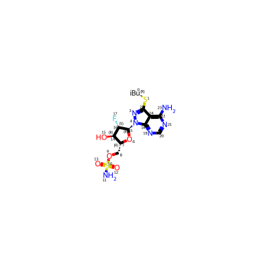 CC[C@@H](C)Sc1nn([C@@H]2O[C@H](COS(N)(=O)=O)[C@@H](O)[C@@H]2F)c2ncnc(N)c12